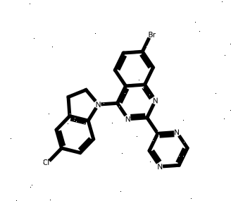 Clc1ccc2c(c1)CCN2c1nc(-c2cnccn2)nc2cc(Br)ccc12